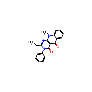 CCc1nc2c(c(=O)c3ccccc3n2C)c(=O)n1-c1ccccc1